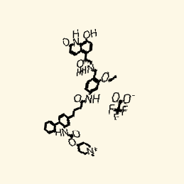 CCOc1cc(NC(=O)CCCc2ccc(-c3ccccc3)c(NC(=O)OC3CC[N+](C)(C)CC3)c2)ccc1CNC[C@H](O)c1ccc(O)c2[nH]c(=O)ccc12.O=C([O-])C(F)(F)F